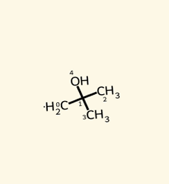 [CH2]C(C)(C)O